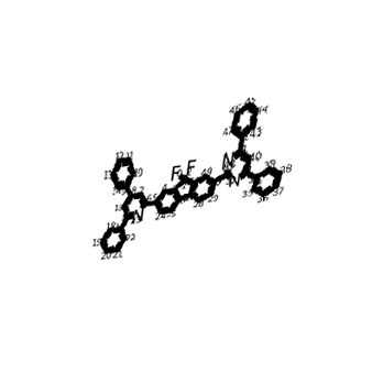 FC1(F)c2cc(-c3cc(-c4ccccc4)cc(-c4ccccc4)n3)ccc2-c2ccc(-c3nc(-c4ccccc4)cc(-c4ccccc4)n3)cc21